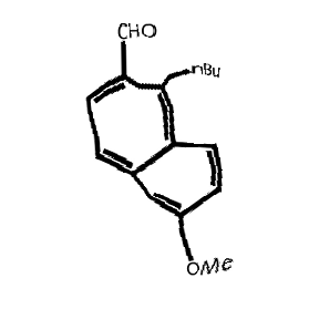 CCCCc1c(C=O)ccc2cc(OC)ccc12